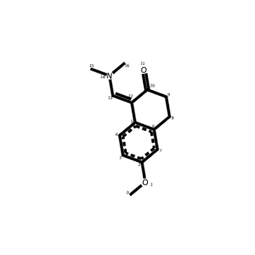 COc1ccc2c(c1)CCC(=O)C2=CN(C)C